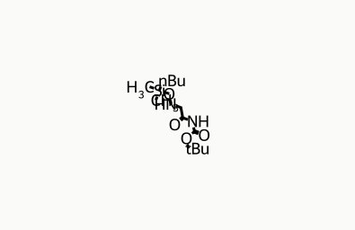 CCCC[Si](C)(C)ONCC(=O)NC(=O)OC(C)(C)C